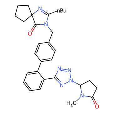 CCCCC1=NC2(CCCC2)C(=O)N1Cc1ccc(-c2ccccc2-c2nnn(C3CCC(=O)N3C)n2)cc1